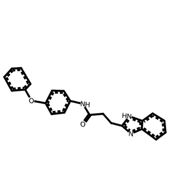 O=C(CCc1nc2ccccc2[nH]1)Nc1ccc(Oc2ccccc2)cc1